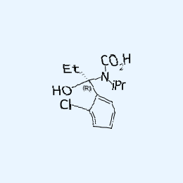 CC[C@@](O)(c1ccccc1Cl)N(C(=O)O)C(C)C